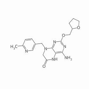 Cc1ccc(CN2CC(=O)Nc3c(N)nc(OCC4CCCO4)nc32)cn1